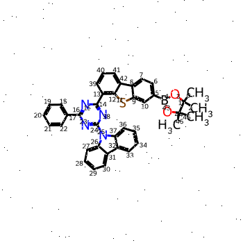 CC1(C)OB(c2ccc3c(c2)sc2c(-c4nc(-c5ccccc5)nc(-n5c6ccccc6c6ccccc65)n4)cccc23)OC1(C)C